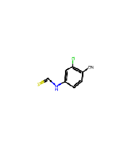 N#Cc1ccc(NC=S)cc1Cl